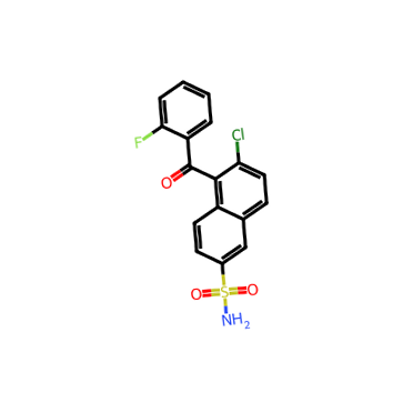 NS(=O)(=O)c1ccc2c(C(=O)c3ccccc3F)c(Cl)ccc2c1